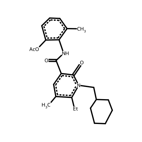 CCc1c(C)cc(C(=O)Nc2c(C)cccc2OC(C)=O)c(=O)n1CC1CCCCC1